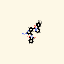 Nc1cc(CN2C(=O)c3ccccc3C2=O)c2cc(C(=O)N3CCCCC3c3ccc(C(F)(F)F)cc3)ccc2n1